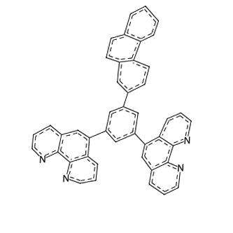 c1ccc2c(c1)ccc1cc(-c3cc(-c4cc5cccnc5c5ncccc45)cc(-c4cc5cccnc5c5ncccc45)c3)ccc12